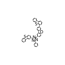 c1ccc(-c2nc(-c3ccc4oc5cc(-c6cccc7c6sc6ccccc67)ccc5c4c3)nc(-c3ccc4sc5ccccc5c4c3)n2)cc1